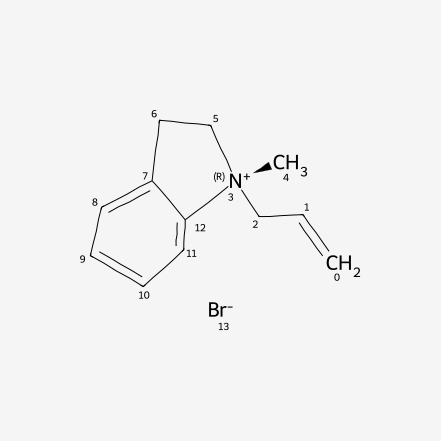 C=CC[N@@+]1(C)CCc2ccccc21.[Br-]